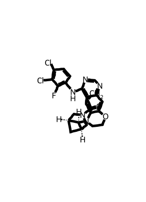 C=CC(=O)N1C[C@H]2C[C@@H](C1)[C@H]2N1CCOc2cc3ncnc(Nc4ccc(Cl)c(Cl)c4F)c3cc21